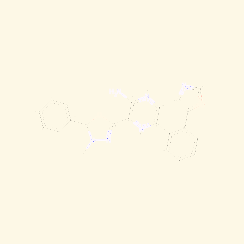 CN1N=C(c2nc(-c3ccccc3-c3cnco3)cnc2N)OC1c1ccccc1